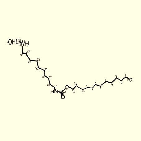 [O]CCCCCCCCCCCCOC(=O)NCCCCCCCCCCN[C]=O